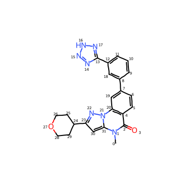 Cn1c(=O)c2ccc(-c3cccc(-c4nn[nH]n4)c3)cc2n2nc(C3CCOCC3)cc12